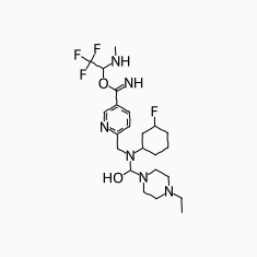 CCN1CCN(C(O)N(Cc2ccc(C(=N)OC(NC)C(F)(F)F)cn2)C2CCCC(F)C2)CC1